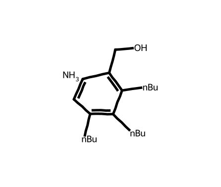 CCCCc1ccc(CO)c(CCCC)c1CCCC.N